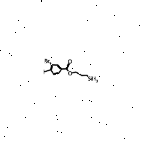 O=C(OCCC[SiH3])c1ccc(I)c(Br)c1